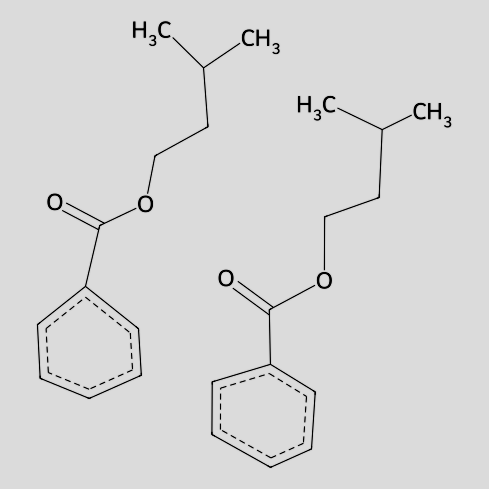 CC(C)CCOC(=O)c1ccccc1.CC(C)CCOC(=O)c1ccccc1